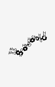 COc1cc2nccc(Oc3cccc(NC(=O)Nc4ccc(N5CCC(NC(=O)C6CCCNC6)CC5)c(C(F)(F)F)c4)c3)c2cc1OC